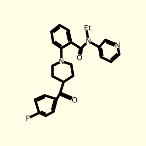 CCN(C(=O)c1ccccc1N1CCC(C(=O)c2ccc(F)cc2)CC1)c1cccnc1